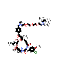 COc1ccc(C[C@H]2NC(=O)/C=C/C[C@@H]([C@H](C)[C@H]3O[C@@H]3c3ccc(CN(C)CCOCCOCCOCCN(C)CC(C)(C)C)cc3)OC(=O)[C@H](CC(C)C)OC(=O)C(C)(C)CNC2=O)cc1Cl